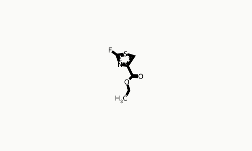 CCOC(=O)c1csc(F)n1